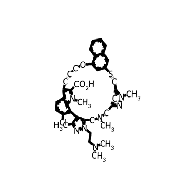 Cc1nn(CCN(C)C)c2c1-c1c(Cl)ccc3c(c(C(=O)O)n(C)c13)CCCOc1cc(cc3ccccc13)SCc1cc(nn1C)CN(C)C2